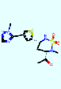 CC(=O)[C@@H]1C[C@H](c2cc(-c3ncnn3C)cs2)NS(=O)(=O)N1C